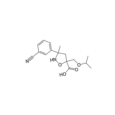 CC(C)OCC1(C(=O)O)CC(C)(c2cccc(C#N)c2)NO1